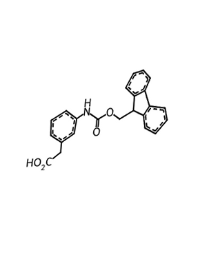 O=C(O)Cc1cccc(NC(=O)OCC2c3ccccc3-c3ccccc32)c1